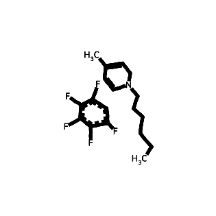 CCCCCCN1C=CC(C)=CC1.Fc1cc(F)c(F)c(F)c1F